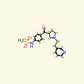 CS(=O)(=O)Nc1ccc(C(=O)C2CCN(CCc3cccnc3)C2)cc1